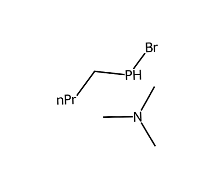 CCCCPBr.CN(C)C